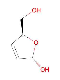 OC[C@@H]1C=C[C@@H](O)O1